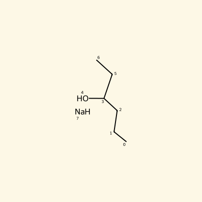 CCCC(O)CC.[NaH]